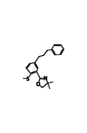 CSc1ccc(CCCc2ccccc2)cc1C1=NC(C)(C)CO1